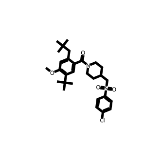 COc1cc(CC(C)(C)C)c(C(=O)N2CCC(CS(=O)(=O)c3ccc(Cl)cc3)CC2)cc1C(C)(C)C